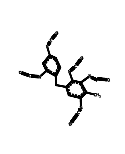 Cc1c(N=C=O)cc(Cc2ccc(N=C=O)cc2N=C=O)c(N=C=O)c1N=C=O